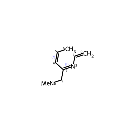 C=C/N=C(\C=C/C)CNC